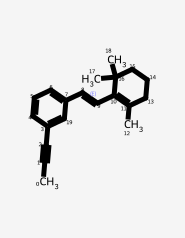 CC#Cc1cccc(/C=C/C2=C(C)CCCC2(C)C)c1